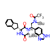 CC[C@@H](C)[C@@H]1C(=O)N[C@H](C2Cc3ccccc3C2)C(=O)N1[C@@H](CN(C(=O)C(F)(F)F)C(C)(C)C)c1ccc2[nH]cnc2c1